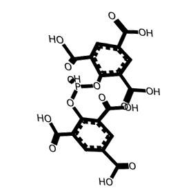 O=C(O)c1cc(C(=O)O)c(O[PH](=O)Oc2c(C(=O)O)cc(C(=O)O)cc2C(=O)O)c(C(=O)O)c1